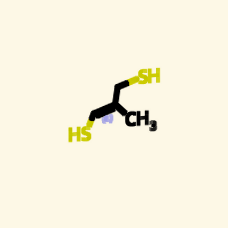 C/C(=C\S)CS